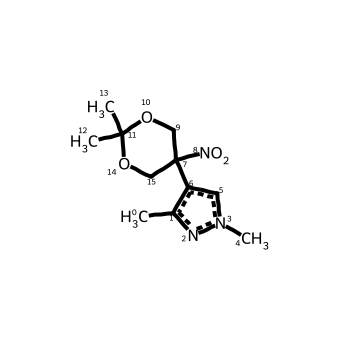 Cc1nn(C)cc1C1([N+](=O)[O-])COC(C)(C)OC1